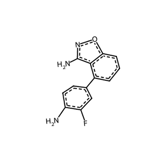 Nc1ccc(-c2cccc3onc(N)c23)cc1F